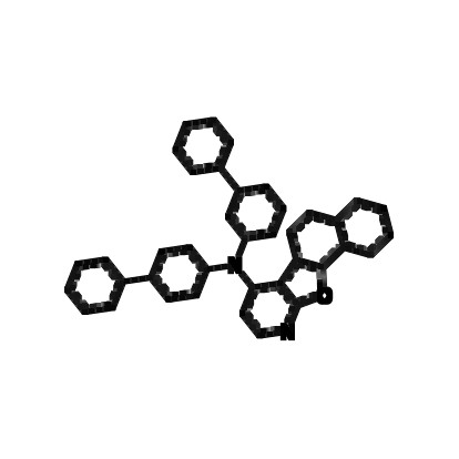 c1ccc(-c2ccc(N(c3cccc(-c4ccccc4)c3)c3ccnc4oc5c6ccccc6ccc5c34)cc2)cc1